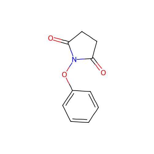 O=C1CCC(=O)N1Oc1ccccc1